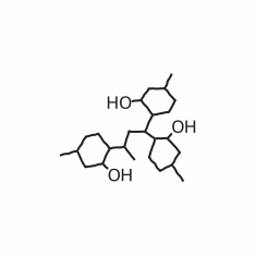 CC1CCC(C(C)CC(C2CCC(C)CC2O)C2CCC(C)CC2O)C(O)C1